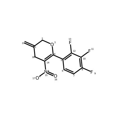 C=C1COC(c2ccc(F)c(F)c2F)=C([N+](=O)[O-])C1